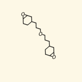 C(COCCCC1CCC2OC2C1)CC1CCC2OC2C1